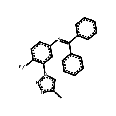 Cc1cn(-c2cc(N=C(c3ccccc3)c3ccccc3)ccc2C(F)(F)F)nn1